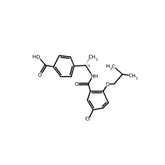 CC(C)COc1ccc(Cl)cc1C(=O)N[C@@H](C)c1ccc(C(=O)O)cc1